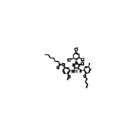 CCCCCCC(=O)Oc1ccc(OC)c(NC2=NN(c3c(Cl)cc(Cl)cc3Cl)C(=O)C2Sc2cc(C)ccc2OCCCC)c1